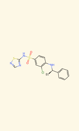 CC[C@@H](Nc1ccc(S(=O)(=O)Nc2ncns2)cc1Cl)c1ccccc1